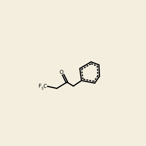 O=C(Cc1ccccc1)CC(F)(F)F